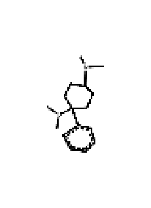 CN(C)C1CCC(c2ccccc2)(N(C)C)CC1